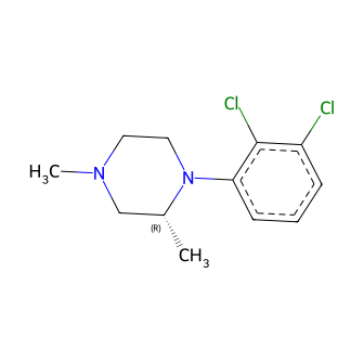 C[C@@H]1CN(C)CCN1c1cccc(Cl)c1Cl